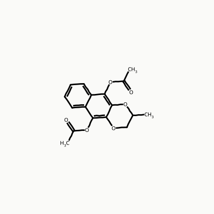 CC(=O)Oc1c2c(c(OC(C)=O)c3ccccc13)OC(C)CO2